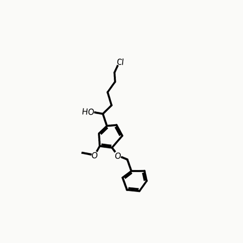 COc1cc(C(O)CCCCCl)ccc1OCc1ccccc1